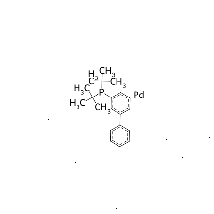 CC(C)(C)P(c1cccc(-c2ccccc2)c1)C(C)(C)C.[Pd]